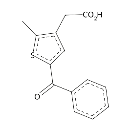 Cc1sc(C(=O)c2ccccc2)cc1CC(=O)O